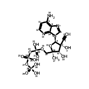 C#C[C@]1(O)[C@H](n2cnc3c(N)ccnc32)O[C@](C)(COP(=O)(O)OP(=O)(O)OP(=O)(O)O)[C@H]1O